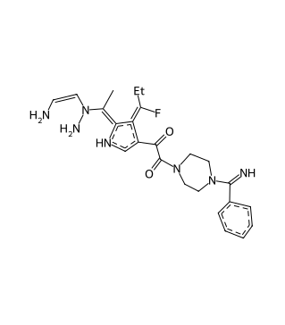 CC/C(F)=c1/c(C(=O)C(=O)N2CCN(C(=N)c3ccccc3)CC2)c[nH]/c1=C(/C)N(N)/C=C\N